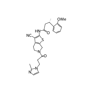 COc1ccccc1[C@@H](C)CC(=O)Nc1sc2c(c1C#N)CCN(C(=O)CCn1ccnc1C)C2